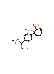 CC(C)c1ccc(C2(C)C=CC=CC2O)cc1